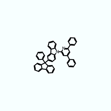 c1ccc(-c2cc(-c3ccccc3)nc(-n3c4ccccc4c4cc(C5(c6ccccc6)c6ccccc6-c6ccccc65)ccc43)c2)cc1